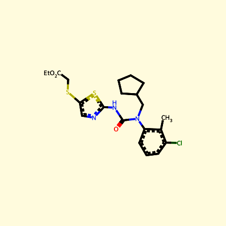 CCOC(=O)CSc1cnc(NC(=O)N(CC2CCCC2)c2cccc(Cl)c2C)s1